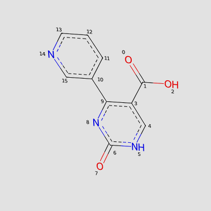 O=C(O)c1c[nH]c(=O)nc1-c1cccnc1